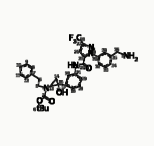 CC(C)(C)OC(=O)N(CCc1ccccc1)C1CC1(O)c1cccc(NC(=O)c2cc(C(F)(F)F)nn2-c2cccc(CN)c2)c1